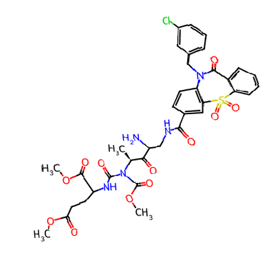 COC(=O)CCC(NC(=O)N(C(=O)OC)[C@@H](C)C(=O)C(N)CNC(=O)c1ccc2c(c1)S(=O)(=O)c1ccccc1C(=O)N2Cc1cccc(Cl)c1)C(=O)OC